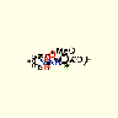 COc1cc(C(=O)O)c(F)cc1C(=O)NS(=O)(=O)N1CC2CC2C1